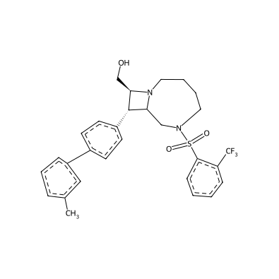 Cc1cccc(-c2ccc([C@H]3C4CN(S(=O)(=O)c5ccccc5C(F)(F)F)CCCCN4[C@@H]3CO)cc2)c1